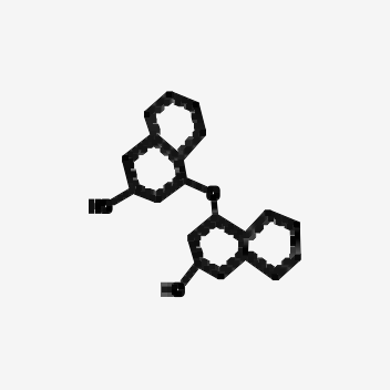 Oc1cc(Oc2cc(O)cc3ccccc23)c2ccccc2c1